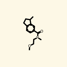 COCCN(C)C(=O)c1ccc2c(c1)C(C)CC2